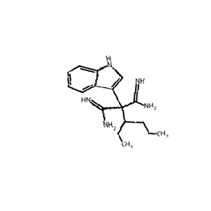 CCC[C](CC)C(C(=N)N)(C(=N)N)c1c[nH]c2ccccc12